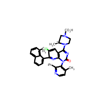 Cc1ccnc(C(C)C)c1-n1c(=O)nc(N2CCN(C(=O)O)C[C@@H]2C)c2cc(Cl)c(-c3cccc4cccc(C)c34)nc21